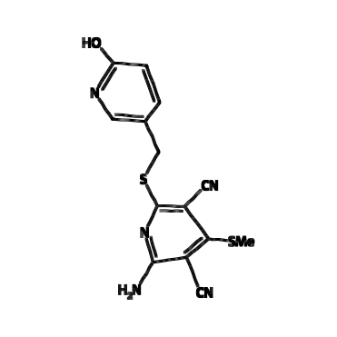 CSc1c(C#N)c(N)nc(SCc2ccc(O)nc2)c1C#N